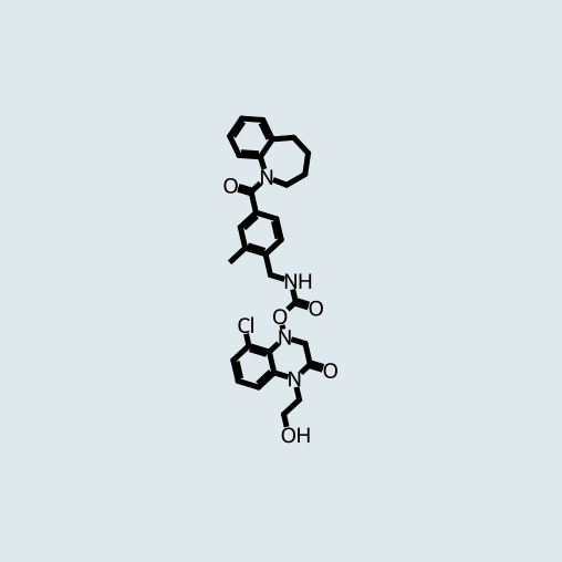 Cc1cc(C(=O)N2CCCCc3ccccc32)ccc1CNC(=O)ON1CC(=O)N(CCO)c2cccc(Cl)c21